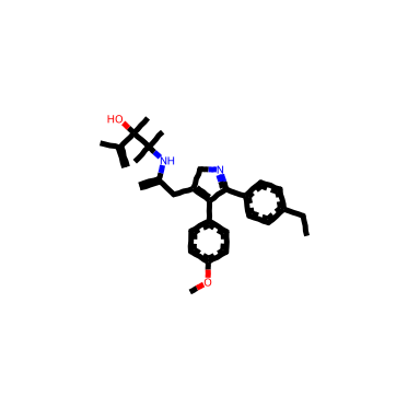 C=C(CC1=C(c2ccc(OC)cc2)C(c2ccc(CC)cc2)=NC1)NC(C)(C)C(C)(O)C(=C)C